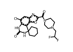 O=C1Nc2c(Cl)cc3nc(C(=O)N4CCN(CC(F)F)CC4)oc3c2C2(CCCCC2)N1